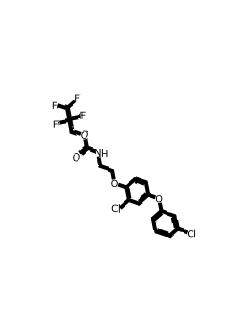 O=C(NCCOc1ccc(Oc2cccc(Cl)c2)cc1Cl)OCC(F)(F)C(F)F